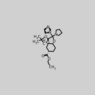 CCOC(=O)[C@H]1CC[C@H](OC(C(=O)OC(C)(C)C)(N2CCCC2)n2ccnc2)CC1